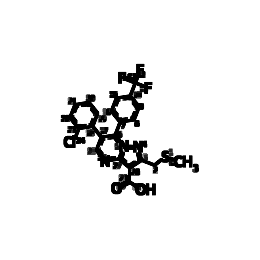 CSCc1nn2c(-c3ccc(C(F)(F)F)cc3)c(-c3ccccc3Cl)cnc2c1C(=O)O